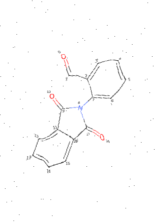 O=Cc1ccccc1N1C(=O)c2ccccc2C1=O